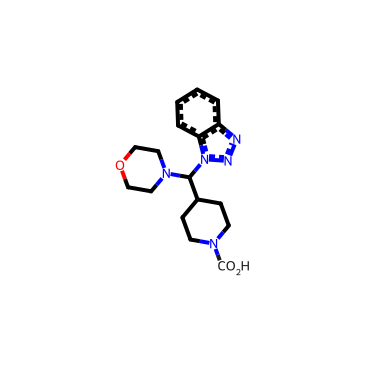 O=C(O)N1CCC(C(N2CCOCC2)n2nnc3ccccc32)CC1